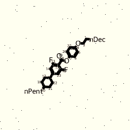 CCCCCCCCCCCCOc1ccc(OC(=O)c2c(F)cc(C3CCC(CCCCC)CC3)cc2F)cc1